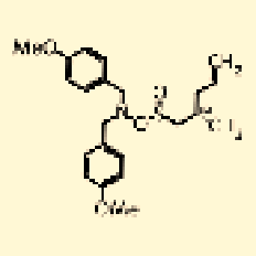 C=CC[C@H](C)CS(=O)ON(Cc1ccc(OC)cc1)Cc1ccc(OC)cc1